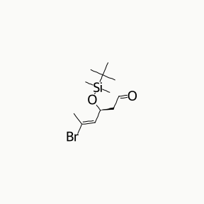 C/C(Br)=C\[C@H](CC=O)O[Si](C)(C)C(C)(C)C